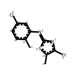 CCc1sc(=Nc2cc(Cl)ccc2C)sc1C